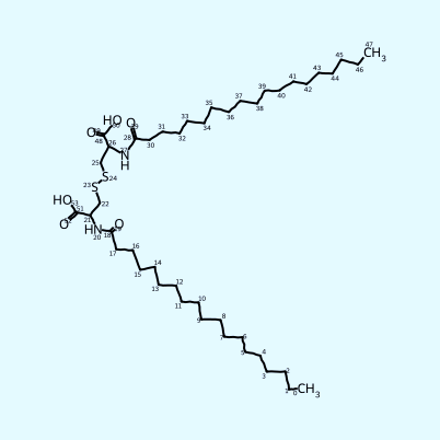 CCCCCCCCCCCCCCCCCCC(=O)NC(CSSCC(NC(=O)CCCCCCCCCCCCCCCCCC)C(=O)O)C(=O)O